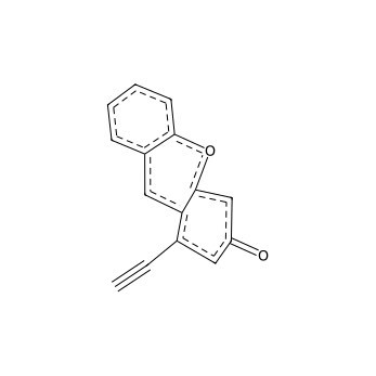 C#Cc1cc(=O)cc2oc3ccccc3cc1-2